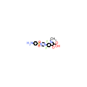 CCn1cc(C(=O)O)c(=O)c2cc(F)c(N3CCN(S(=O)(=O)c4ccc(N)cc4)CC3)c(F)c21